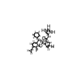 O=C(N[C@@H](c1ccccc1)c1ccc(C2CC2)c(F)n1)[C@@H]1C2C[C@H]2CN1C(=O)CC1=CNNN1